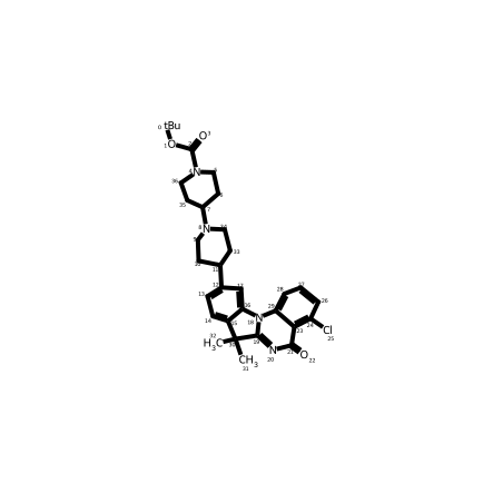 CC(C)(C)OC(=O)N1CCC(N2CCC(c3ccc4c(c3)-n3c(nc(=O)c5c(Cl)cccc53)C4(C)C)CC2)CC1